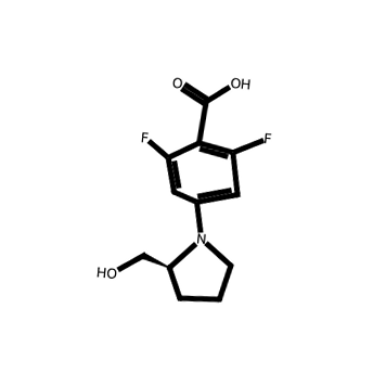 O=C(O)c1c(F)cc(N2CCC[C@H]2CO)cc1F